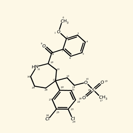 COc1ccccc1C(=O)C1CC(CCOS(C)(=O)=O)(c2ccc(Cl)c(Cl)c2)CCCN1